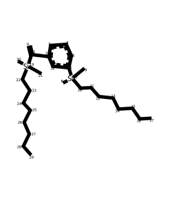 [CH]=C(c1cc[c]c([Si](C)(C)CCCCCCCC)c1)[Si](C)(C)CCCCCCCC